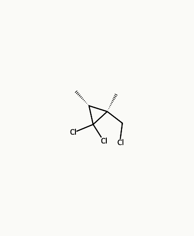 C[C@H]1C(Cl)(Cl)[C@]1(C)CCl